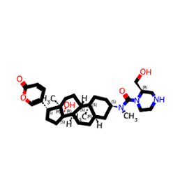 CN(C(=O)N1CCNC[C@@H]1CO)[C@H]1CC[C@@]2(C)[C@H](CC[C@@H]3[C@@H]2CC[C@]2(C)[C@@H](c4ccc(=O)oc4)CC[C@]32O)C1